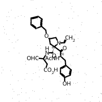 C=CN1CC(OCc2ccccc2)C[C@]1(C(=O)NC(C=O)CC(=O)O)C(=O)[C@H](Cc1ccc(O)cc1)NC(C)=O